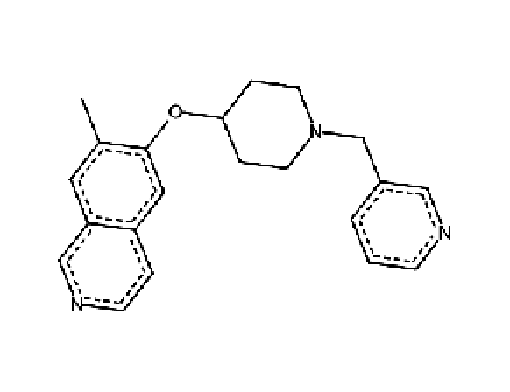 Cc1cc2cnccc2cc1OC1CCN(Cc2cccnc2)CC1